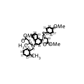 COC(=O)C[C@H](C)N(Cc1ccccc1C)c1ccc(N(CC(=O)OC)Sc2ccc(OC)cc2)c2ccccc12